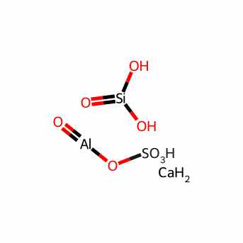 O=[Si](O)O.[CaH2].[O]=[Al][O]S(=O)(=O)O